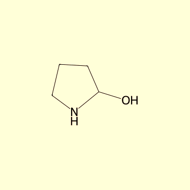 OC1CCCN1